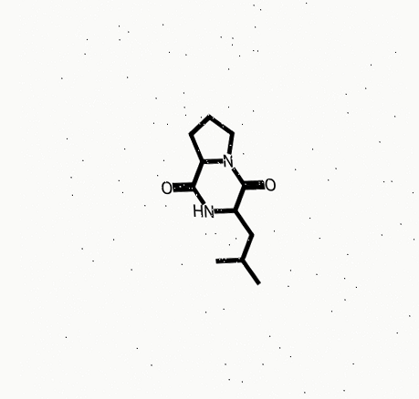 CC(C)CC1NC(=O)C2CCCN2C1=O